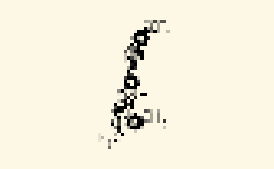 Cc1ccc(OCC(F)(F)F)c(N2C(=O)CSC2=NC(=O)Nc2ccc(C=Cc3ncn(-c4ccc(OC(F)(F)F)cc4)n3)cc2)c1